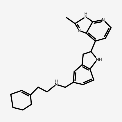 Cc1nc2c(C3Cc4cc(CNCCC5=CCCCC5)ccc4N3)ccnc2[nH]1